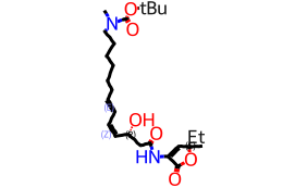 CC[C@@]1(C)C=C(NC(=O)C[C@@H](O)/C=C\C=C\CCCCCCN(C)C(=O)OC(C)(C)C)C(=O)O1